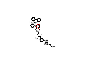 CN(CCN1CCC(OC(=O)N(c2ccccc2-c2ccccc2)N(C(=O)O)c2ccccc2-c2ccccc2)CC1)C(=O)c1cccc(NC(=O)CNCCO)c1